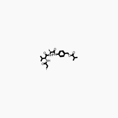 CC(C)C(=O)OCc1ccc(NC(=O)[C@H](C)NC(=O)[C@@H](NC(=O)CI)C(C)C)cc1